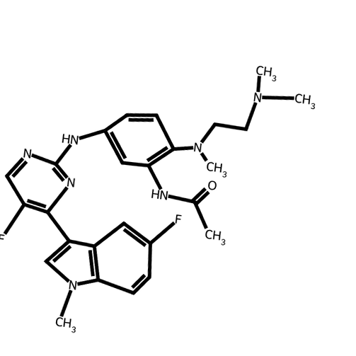 CC(=O)Nc1cc(Nc2ncc(F)c(-c3cn(C)c4ccc(F)cc34)n2)ccc1N(C)CCN(C)C